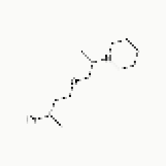 CC(C)N(C)CCOCC(C)N1CCCCC1